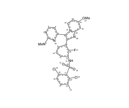 CNc1nccc(-c2c(-c3cccc(NS(=O)(=O)c4c(Cl)ccc(C)c4Cl)c3F)nc3cc(OC)ccn23)n1